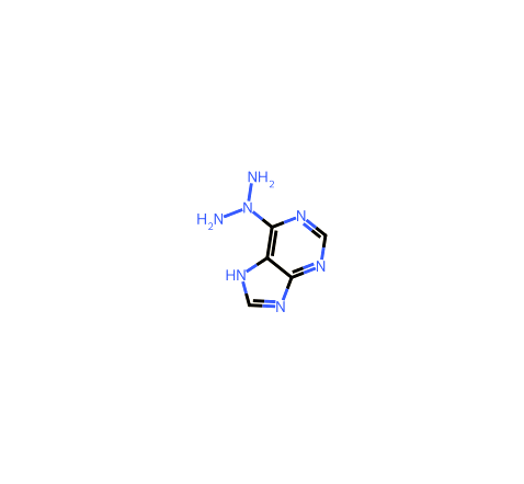 NN(N)c1ncnc2nc[nH]c12